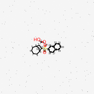 O=C(O)[C@H]1C2CCCCC(C2)C1S(=O)(=O)c1ccc2ccccc2c1